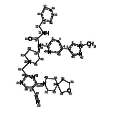 Cn1cc(-c2ccc([N+](C(=O)NCc3ccccc3)=C3CCN(Cc4ncc(C#N)c(N5CCC6(CCOC6)CC5)n4)CC3)nc2)cn1